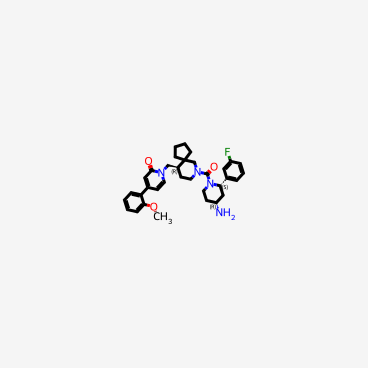 COc1ccccc1-c1ccn(C[C@@H]2CCN(C(=O)N3CC[C@@H](N)C[C@H]3c3cccc(F)c3)CC23CCCC3)c(=O)c1